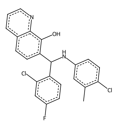 Cc1cc(NC(c2ccc(F)cc2Cl)c2ccc3cccnc3c2O)ccc1Cl